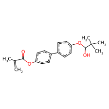 C=C(C)C(=O)Oc1ccc(-c2ccc(OC(O)C(C)(C)C)cc2)cc1